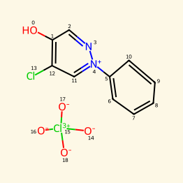 Oc1cn[n+](-c2ccccc2)cc1Cl.[O-][Cl+3]([O-])([O-])[O-]